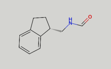 O=CNC[C@H]1CCc2ccccc21